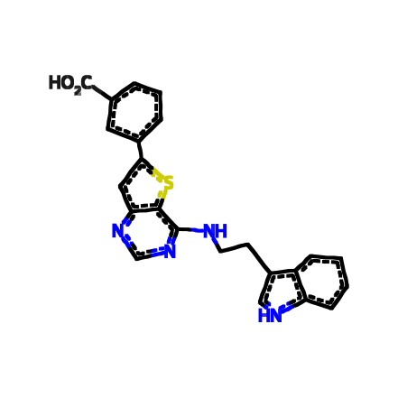 O=C(O)c1cccc(-c2cc3ncnc(NCCc4c[nH]c5ccccc45)c3s2)c1